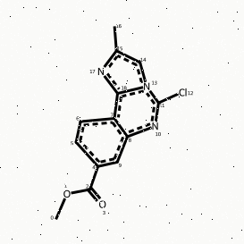 COC(=O)c1ccc2c(c1)nc(Cl)n1cc(C)nc21